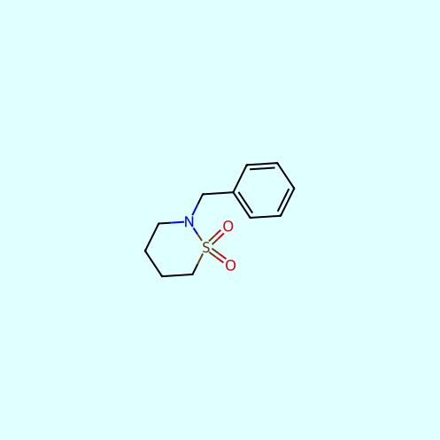 O=S1(=O)CCCCN1Cc1ccccc1